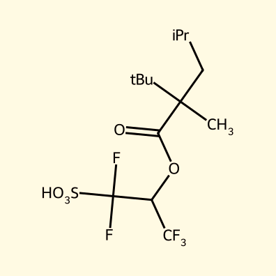 CC(C)CC(C)(C(=O)OC(C(F)(F)F)C(F)(F)S(=O)(=O)O)C(C)(C)C